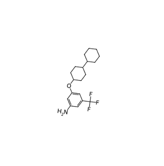 Nc1cc(OC2CCC(C3CCCCC3)CC2)cc(C(F)(F)F)c1